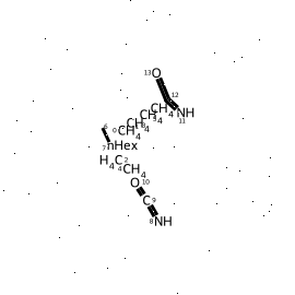 C.C.C.C.C.C.CCCCCCC.N=C=O.N=C=O